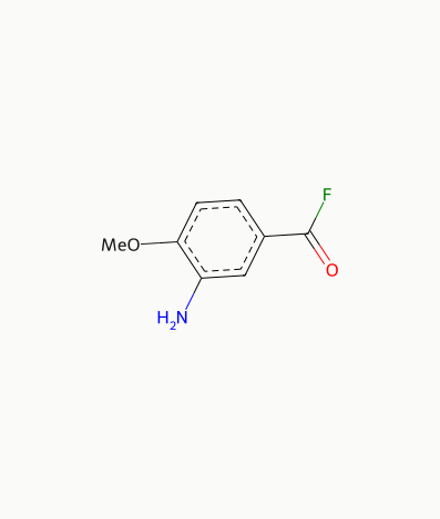 COc1ccc(C(=O)F)cc1N